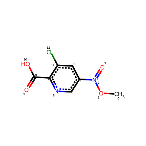 CO[N+](=O)c1cnc(C(=O)O)c(Cl)c1